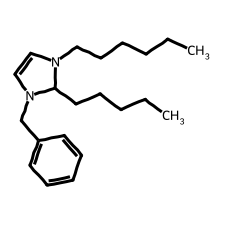 CCCCCCN1C=CN(Cc2ccccc2)C1CCCCC